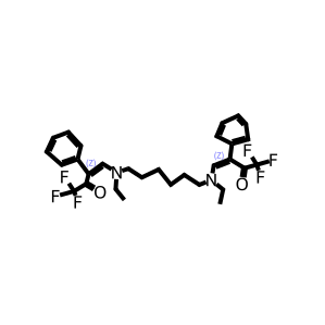 CCN(/C=C(\C(=O)C(F)(F)F)c1ccccc1)CCCCCCN(/C=C(\C(=O)C(F)(F)F)c1ccccc1)CC